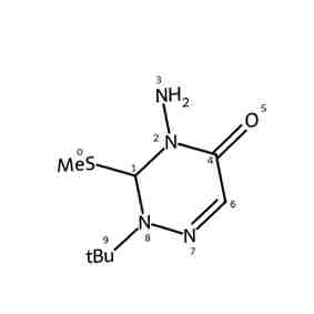 CSC1N(N)C(=O)C=NN1C(C)(C)C